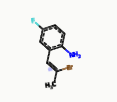 C/C(Br)=C/c1cc(F)ccc1N